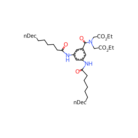 CCCCCCCCCCCCCCCC(=O)Nc1cc(NC(=O)CCCCCCCCCCCCCCC)cc(C(=O)N(CC(=O)OCC)CC(=O)OCC)c1